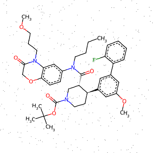 CCCCN(C(=O)[C@H]1CN(C(=O)OC(C)(C)C)CC[C@@H]1c1cc(OC)cc(-c2ccccc2F)c1)c1ccc2c(c1)N(CCCOC)C(=O)CO2